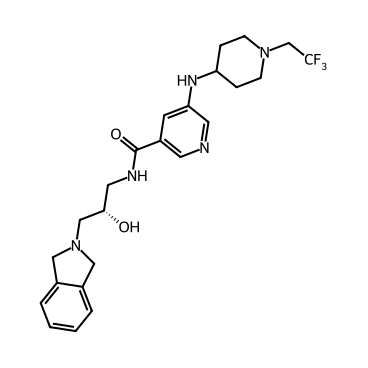 O=C(NC[C@H](O)CN1Cc2ccccc2C1)c1cncc(NC2CCN(CC(F)(F)F)CC2)c1